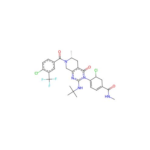 CNC(=O)C1=CC=C(n2c(NC(C)(C)C)nc3c(c2=O)C[C@@H](C)N(C(=O)c2ccc(Cl)c(C(F)(F)F)c2)C3)C(Cl)C1